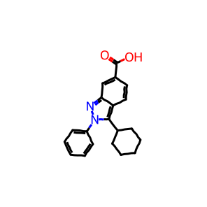 O=C(O)c1ccc2c(C3CCCCC3)n(-c3ccccc3)nc2c1